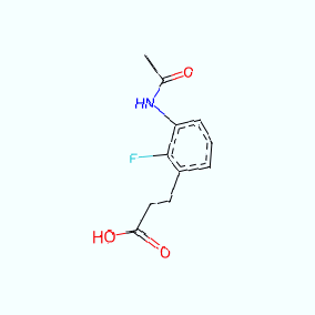 CC(=O)Nc1cccc(CCC(=O)O)c1F